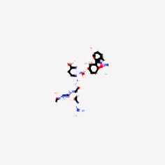 COc1ccc(C)c2c1O[C@H]1C(OC(=O)N3CC(C(=O)O)CC[C@@H]3CNC(=O)[C@H](CCCNC(=N)N)NC(=O)CNC(C)=O)=CCC3[C@@H](C)N(C)CC[C@@]231